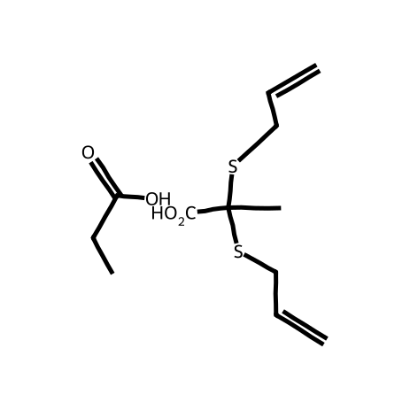 C=CCSC(C)(SCC=C)C(=O)O.CCC(=O)O